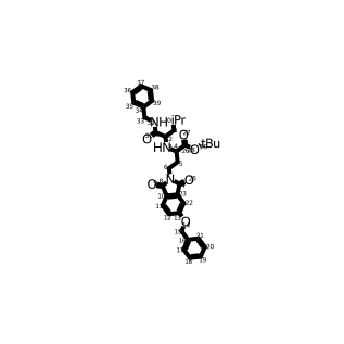 CC(C)CC(NC(CCN1C(=O)c2ccc(OCc3ccccc3)cc2C1=O)C(=O)OC(C)(C)C)C(=O)NCc1ccccc1